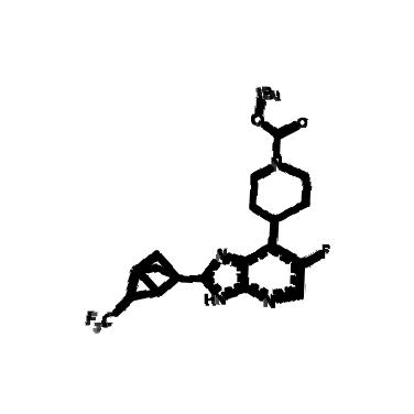 CC(C)(C)OC(=O)N1CCC(c2c(F)cnc3[nH]c(C45CC6(C4)C(C(F)(F)F)C56)nc23)CC1